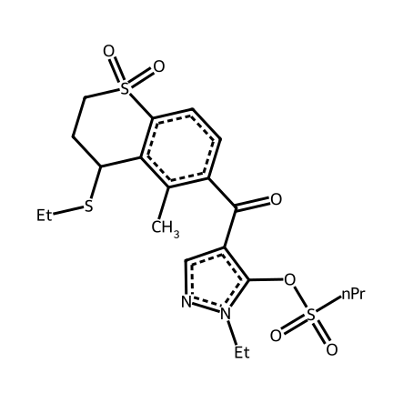 CCCS(=O)(=O)Oc1c(C(=O)c2ccc3c(c2C)C(SCC)CCS3(=O)=O)cnn1CC